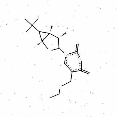 CCC(I)(CC)C1[C@H]2OC(n3cc(CNCC(=O)O)c(=O)[nH]c3=O)[C@H](OC)[C@@]12O